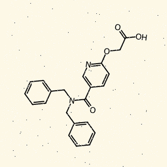 O=C(O)COc1ccc(C(=O)N(Cc2ccccc2)Cc2ccccc2)cn1